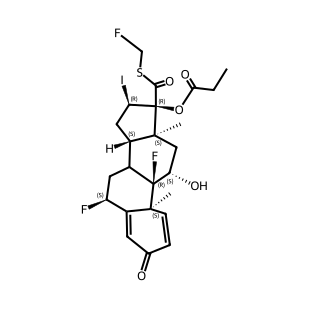 CCC(=O)O[C@]1(C(=O)SCF)[C@H](I)C[C@H]2C3C[C@H](F)C4=CC(=O)C=C[C@]4(C)[C@@]3(F)[C@@H](O)C[C@@]21C